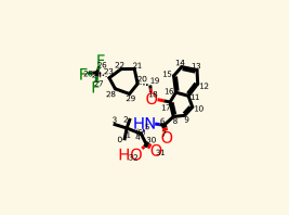 CC(C)(C)[C@H](NC(=O)c1ccc2ccccc2c1OC[C@H]1CC[C@@H](C(F)(F)F)CC1)C(=O)O